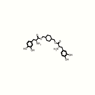 N[C@@H](Cc1ccc(O)c(O)c1)C(=O)OCC1CCC(COC(=O)[C@@H](N)Cc2ccc(O)c(O)c2)CC1